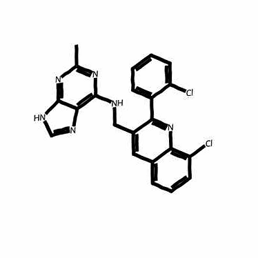 Cc1nc(NCc2cc3cccc(Cl)c3nc2-c2ccccc2Cl)c2nc[nH]c2n1